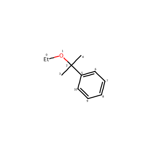 CCOC(C)(C)c1ccccc1